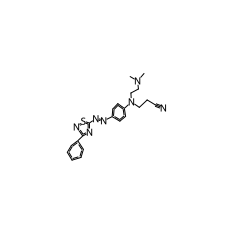 CN(C)CCN(CCC#N)c1ccc(/N=N/c2nc(-c3ccccc3)ns2)cc1